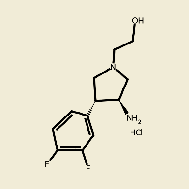 Cl.N[C@@H]1CN(CCO)C[C@H]1c1ccc(F)c(F)c1